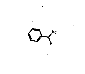 CCC(C(C)=O)c1ccccc1